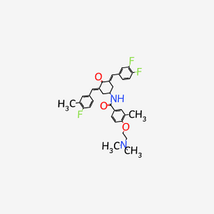 Cc1cc(/C=C2\CC(NC(=O)c3ccc(OCCN(C)C)c(C)c3)C/C(=C\c3ccc(F)c(F)c3)C2=O)ccc1F